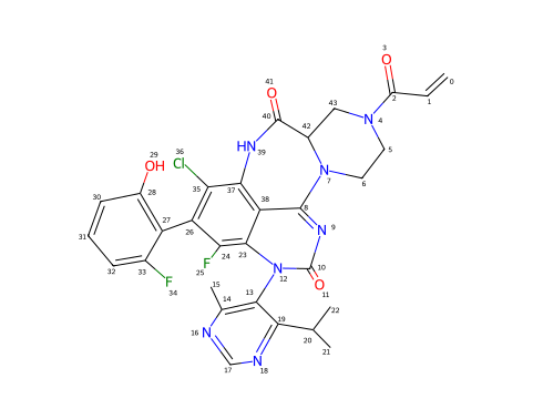 C=CC(=O)N1CCN2c3nc(=O)n(-c4c(C)ncnc4C(C)C)c4c(F)c(-c5c(O)cccc5F)c(Cl)c(c34)NC(=O)C2C1